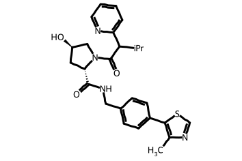 Cc1ncsc1-c1ccc(CNC(=O)[C@@H]2C[C@@H](O)CN2C(=O)C(c2ccccn2)C(C)C)cc1